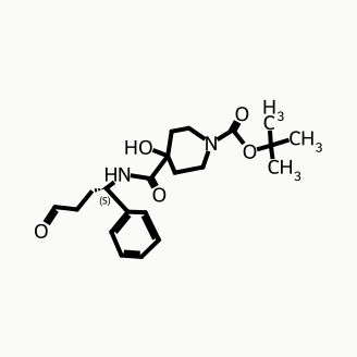 CC(C)(C)OC(=O)N1CCC(O)(C(=O)N[C@@H](CCC=O)c2ccccc2)CC1